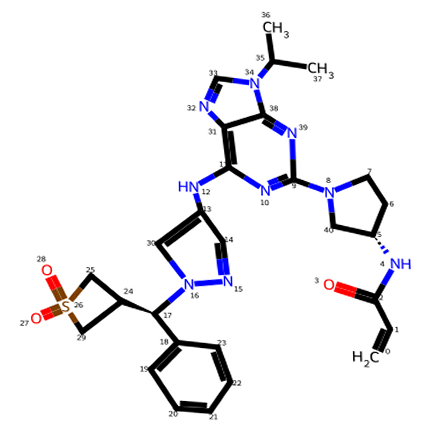 C=CC(=O)N[C@H]1CCN(c2nc(Nc3cnn([C@@H](c4ccccc4)C4CS(=O)(=O)C4)c3)c3ncn(C(C)C)c3n2)C1